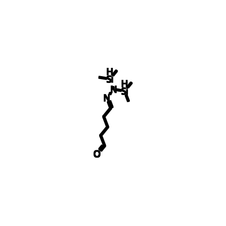 C[SiH](C)N(N=CCCCC=O)[SiH](C)C